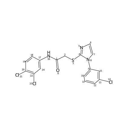 O=C(CSc1nccn1-c1cccc(Cl)c1)Nc1ccc(Cl)c(Cl)c1